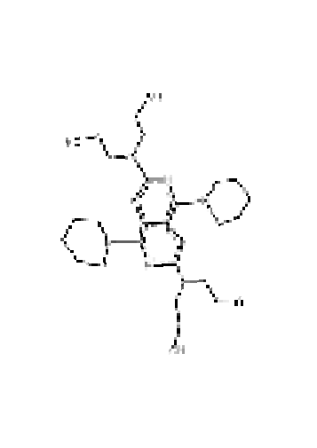 OCCC(CCO)c1nc(N2CCCCC2)c2nc(C(CCO)CCO)nc(N3CCCCC3)c2n1